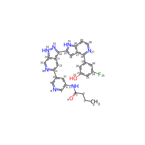 CCCC(=O)Nc1cncc(-c2cc3c(-c4cc5c(-c6cc(O)cc(F)c6)nccc5[nH]4)n[nH]c3cn2)c1